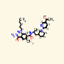 CCCCCNc1cc(C(=O)NC(C)CC2CCCN(c3ccc(C(C)=O)cn3)C2)c(C)cc1C(N)=O